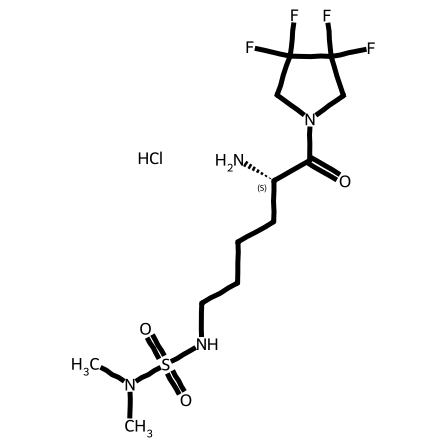 CN(C)S(=O)(=O)NCCCC[C@H](N)C(=O)N1CC(F)(F)C(F)(F)C1.Cl